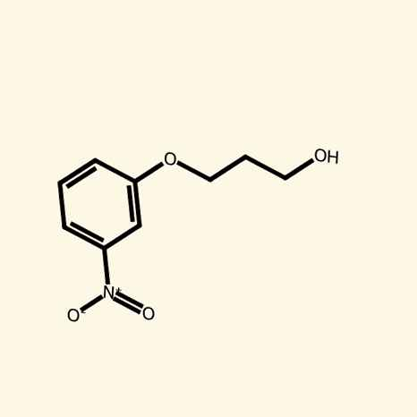 O=[N+]([O-])c1cccc(OCCCO)c1